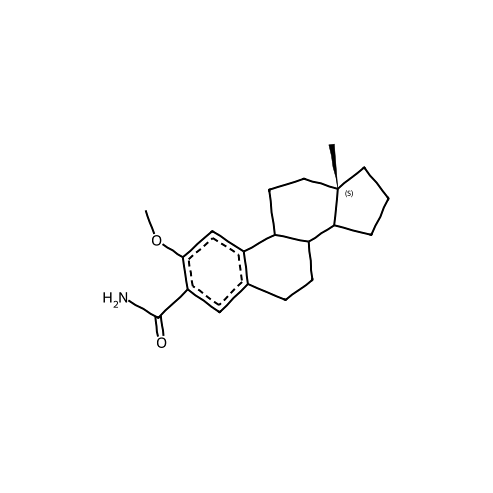 COc1cc2c(cc1C(N)=O)CCC1C2CC[C@]2(C)CCCC12